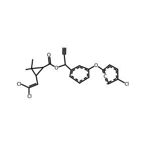 C#CC(OC(=O)C1C(C=C(Cl)Cl)C1(C)C)c1cccc(Oc2ccc(Cl)cc2)c1